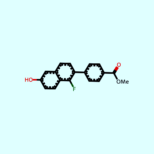 COC(=O)c1ccc(-c2ccc3cc(O)ccc3c2F)cc1